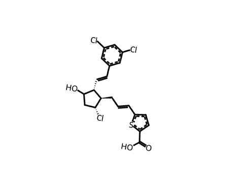 O=C(O)c1ccc(/C=C/C[C@H]2[C@H](Cl)CC(O)[C@@H]2/C=C/c2cc(Cl)cc(Cl)c2)s1